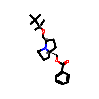 CC(C)(C)[Si](C)(C)OC[C@H]1CC[C@@]2(COC(=O)c3ccccc3)CCCN12